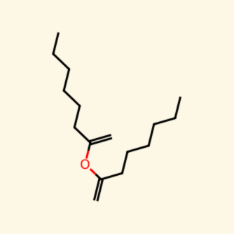 C=C(CCCCCC)OC(=C)CCCCCC